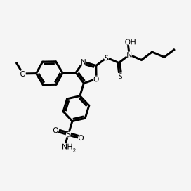 CCCCN(O)C(=S)Sc1nc(-c2ccc(OC)cc2)c(-c2ccc(S(N)(=O)=O)cc2)o1